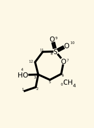 C.CCC1(O)CCOS(=O)(=O)CC1